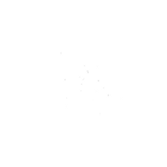 CCC[CH]c1c(C)cc(C)c(C)c1C